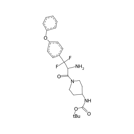 CC(C)(C)OC(=O)NC1CCN(C(=O)C(N)C(F)(F)c2ccc(Oc3ccccc3)cc2)CC1